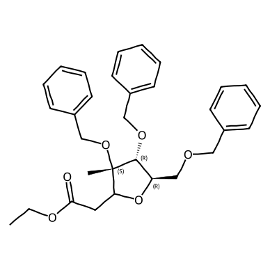 CCOC(=O)CC1O[C@H](COCc2ccccc2)[C@@H](OCc2ccccc2)[C@@]1(C)OCc1ccccc1